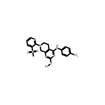 CCOc1nc2c(c(Nc3ccc(C(F)(F)F)cc3)n1)CCN(c1ncccc1S(C)(=O)=O)C2